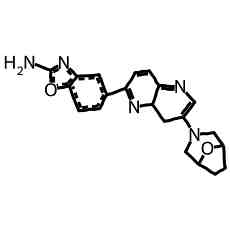 Nc1nc2cc(C3=NC4CC(N5CC6CCC(C5)O6)=CN=C4C=C3)ccc2o1